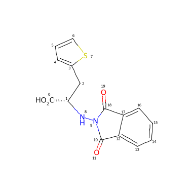 O=C(O)[C@H](Cc1cccs1)NN1C(=O)c2ccccc2C1=O